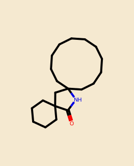 O=C1NC2(CCCCCCCCCCC2)CC12CCCCC2